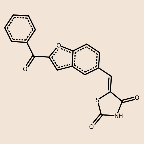 O=C1NC(=O)C(=Cc2ccc3oc(C(=O)c4ccccc4)cc3c2)S1